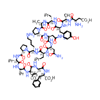 CC(C)C[C@H](NC(=O)[C@H](Cc1ccc(O)cc1)NC(=O)[C@H](C)NC(=O)[C@@H](N)CC(=O)O)C(=O)N[C@@H](C)C(=O)N1CCC[C@H]1C(=O)N[C@@H](CC(N)=O)C(=O)N[C@@H](CC(N)=O)C(=O)N[C@@H](CC(C)C)C(=O)N[C@@H](CCCCN)C(=O)N1CCC[C@H]1C(=O)N[C@H](C(=O)N[C@H](C(=O)N[C@@H](C)C(=O)N[C@@H](CCC(=O)O)C(=O)N[C@@H](Cc1ccccc1)C(=O)O)C(C)C)C(C)C